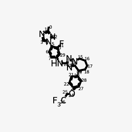 Cc1ncn(-c2ccc(Nc3nc4n(n3)CCCC[C@H]4c3ccc(OCC(F)(F)F)cc3)cc2F)n1